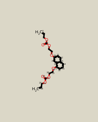 C=CCOC(=O)OCCOc1ccc2cccc(OCCOC(=O)OCC=C)c2c1